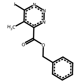 Cc1c(I)nnnc1C(=O)OCc1ccccc1